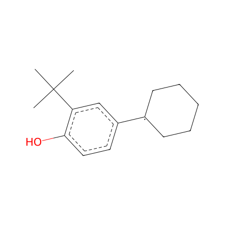 CC(C)(C)c1cc([C]2CCCCC2)ccc1O